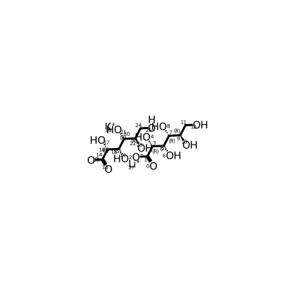 O=C([O-])[C@H](O)[C@@H](O)[C@H](O)[C@H](O)CO.O=C([O-])[C@H](O)[C@@H](O)[C@H](O)[C@H](O)CO.[K+].[Li+]